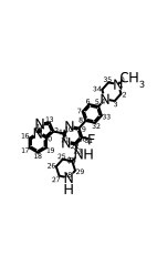 CN1CCN(c2ccc(-c3nc(-c4cnn5ccccc45)nc(N[C@@H]4CCCNC4)c3F)cc2)CC1